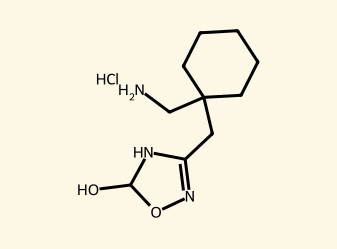 Cl.NCC1(CC2=NOC(O)N2)CCCCC1